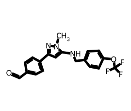 Cn1nc(-c2ccc(C=O)cc2)cc1NCc1ccc(OC(F)(F)F)cc1